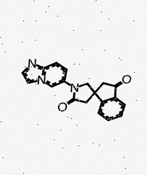 O=C1CC2(CC(=O)N(c3ccc4nccn4c3)C2)c2ccccc21